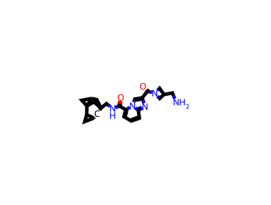 NCC1CN(C(=O)c2cn3c(C(=O)NCC45CC6CC6C6(CC6C4)C5)cccc3n2)C1